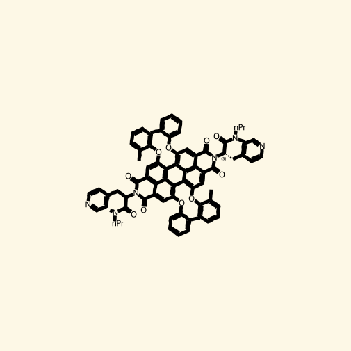 CCCN(C)C(=O)C(Cc1ccncc1)N1C(=O)c2cc(Oc3ccccc3C)c3c4c(Oc5ccccc5C)cc5c6c(cc(Oc7ccccc7C)c(c7c(Oc8ccccc8C)cc(c2c37)C1=O)c64)C(=O)N([C@@H](Cc1ccncc1)C(=O)N(C)CCC)C5=O